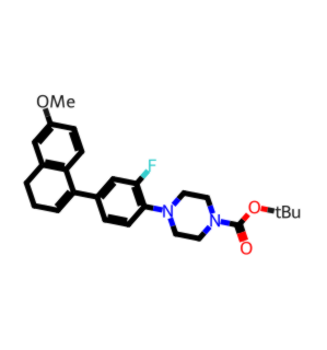 COc1ccc2c(c1)CCC=C2c1ccc(N2CCN(C(=O)OC(C)(C)C)CC2)c(F)c1